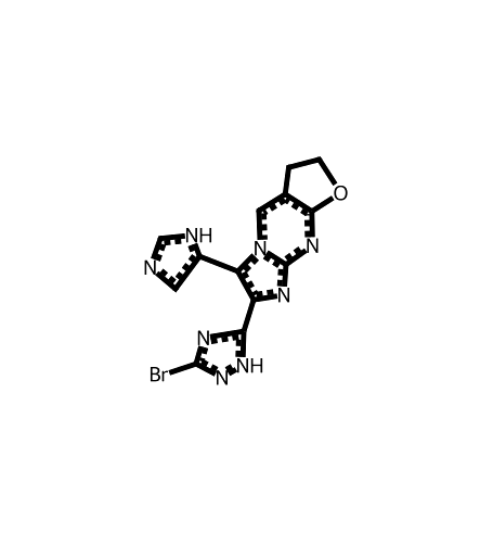 Brc1n[nH]c(-c2nc3nc4c(cn3c2-c2cnc[nH]2)CCO4)n1